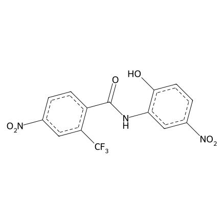 O=C(Nc1cc([N+](=O)[O-])ccc1O)c1ccc([N+](=O)[O-])cc1C(F)(F)F